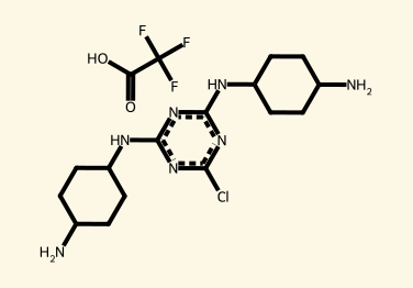 NC1CCC(Nc2nc(Cl)nc(NC3CCC(N)CC3)n2)CC1.O=C(O)C(F)(F)F